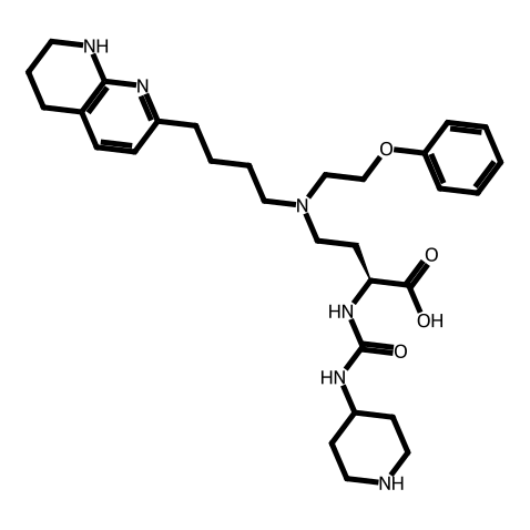 O=C(NC1CCNCC1)N[C@@H](CCN(CCCCc1ccc2c(n1)NCCC2)CCOc1ccccc1)C(=O)O